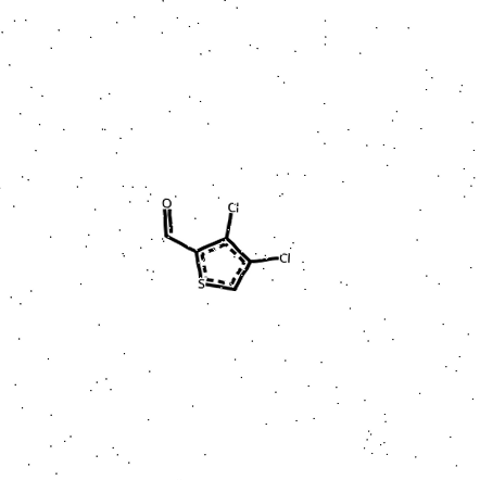 O=Cc1scc(Cl)c1Cl